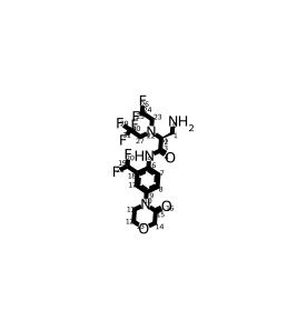 NC[C@@H](C(=O)Nc1ccc(N2CCOCC2=O)cc1C(F)F)N(CC(F)F)CC(F)(F)F